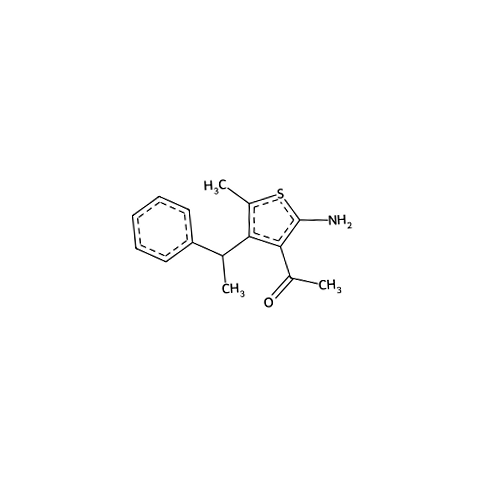 CC(=O)c1c(N)sc(C)c1C(C)c1ccccc1